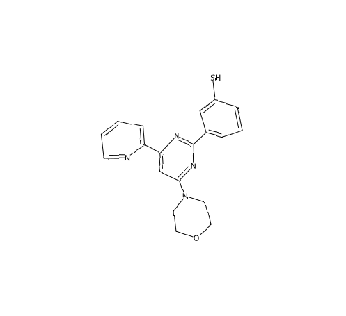 Sc1cccc(-c2nc(-c3ccccn3)cc(N3CCOCC3)n2)c1